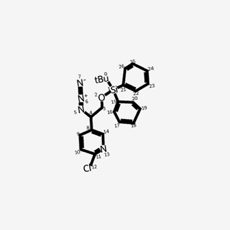 CC(C)(C)[Si](OCC(N=[N+]=[N-])c1ccc(Cl)nc1)(c1ccccc1)c1ccccc1